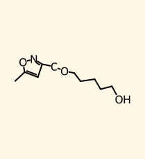 Cc1cc(COCCCCCO)no1